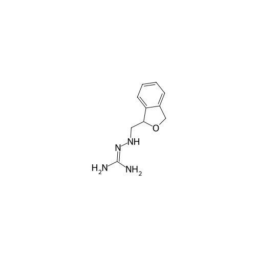 NC(N)=NNCC1OCc2ccccc21